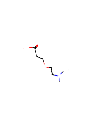 CN(C)CCOCCC(=O)O